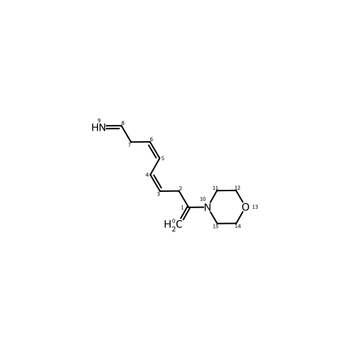 C=C(C/C=C\C=C/CC=N)N1CCOCC1